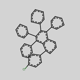 Clc1ccc(-c2cccc3c(-c4ccccc4)c(-c4ccccc4)c(-c4ccccc4)c(-c4ccccc4)c23)cc1